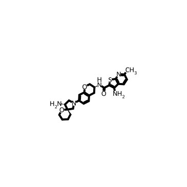 Cc1ccc2c(N)c(C(=O)N[C@H]3COc4cc(N5C[C@@H](N)[C@]6(CCCCO6)C5)ccc4C3)sc2n1